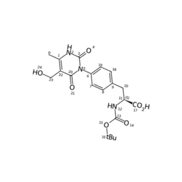 Cc1[nH]c(=O)n(-c2ccc(C[C@H](NC(=O)OC(C)(C)C)C(=O)O)cc2)c(=O)c1CO